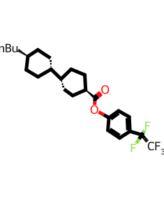 CCCC[C@H]1CC[C@H]([C@H]2CC[C@H](C(=O)Oc3ccc(C(F)(F)C(F)(F)F)cc3)CC2)CC1